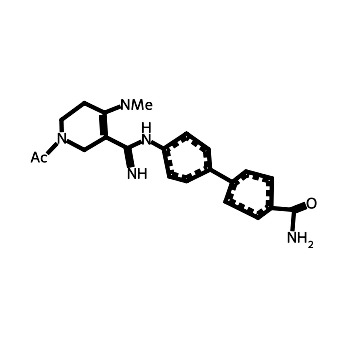 CNC1=C(C(=N)Nc2ccc(-c3ccc(C(N)=O)cc3)cc2)CN(C(C)=O)CC1